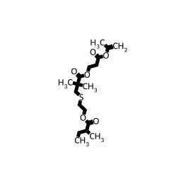 C=C(C)OC(=O)CCOC(=O)C(C)(C)CSCCOC(=O)C(C)CC